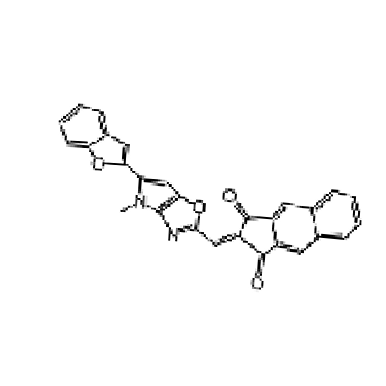 Cn1c(-c2cc3ccccc3o2)cc2oc(C=C3C(=O)c4cc5ccccc5cc4C3=O)nc21